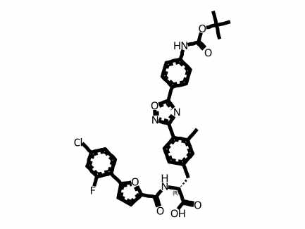 Cc1cc(C[C@@H](NC(=O)c2ccc(-c3ccc(Cl)cc3F)o2)C(=O)O)ccc1-c1noc(-c2ccc(NC(=O)OC(C)(C)C)cc2)n1